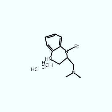 CCN1c2ccccc2NCC1CN(C)C.Cl.Cl.Cl